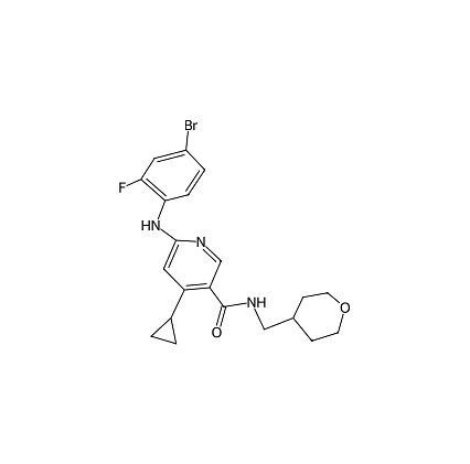 O=C(NCC1CCOCC1)c1cnc(Nc2ccc(Br)cc2F)cc1C1CC1